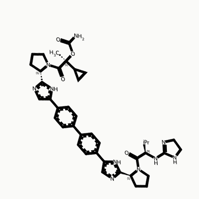 CC(C)[C@@H](NC1=NCCN1)C(=O)N1CCC[C@H]1c1ncc(-c2ccc(-c3ccc(-c4cnc([C@@H]5CCCN5C(=O)[C@@](C)(OC(N)=O)C5CC5)[nH]4)cc3)cc2)[nH]1